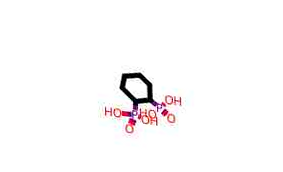 O=P(O)(O)C1CCCCC1P(=O)(O)O